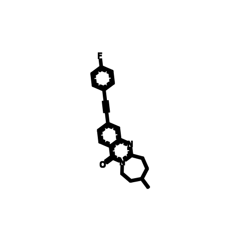 CC1CCc2nc3cc(C#Cc4ccc(F)cc4)ccc3c(=O)n2CC1